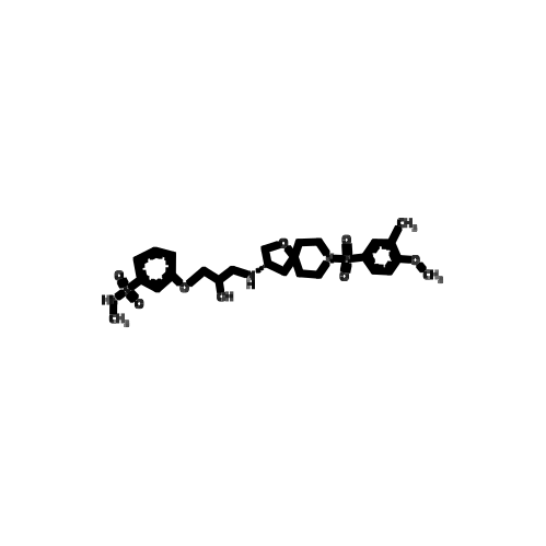 CNS(=O)(=O)c1cccc(OCC(O)CN[C@@H]2COC3(CCN(S(=O)(=O)c4ccc(OC)c(C)c4)CC3)C2)c1